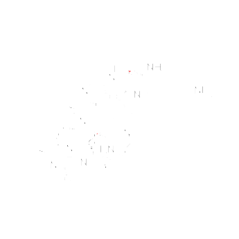 CC[C@H](NC(=O)C(C[C@H](C)CCCCCCCN)N(C)C(=O)CC(C)C)C(=O)N(C)CC(=O)N(C)[C@@H](CC(C)C)C(=O)N[C@H](C(=O)N(C)[C@@H](CC(C)C)C(=O)N[C@H](C)C(=O)NC(C)C(=O)N(C)[C@@H](CC(C)C)C(=O)NC)C(C)C